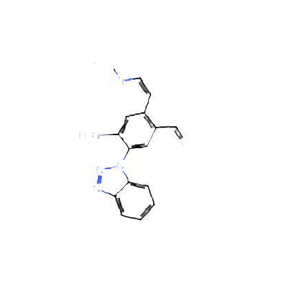 C=Cc1cc(-n2nnc3ccccc32)c(N)cc1/C=C\NC